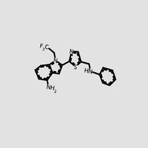 Nc1cccc2c1cc(-c1ncc(CNc3ccccc3)s1)n2CC(F)(F)F